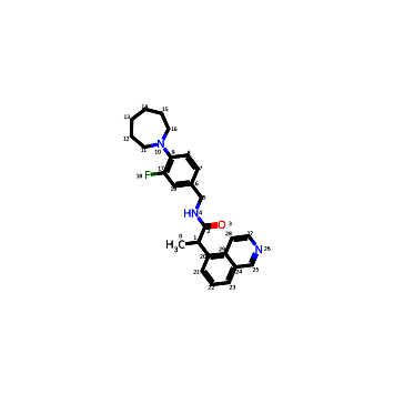 CC(C(=O)NCc1ccc(N2CCCCCC2)c(F)c1)c1cccc2cnccc12